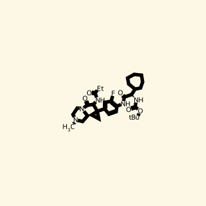 CCC(=O)NC(C(=O)N1CCN(C)CC1)C1(c2ccc(NC(=O)[C@@H](NC(=O)OC(C)(C)C)C3CCCCCC3)c(F)c2)CC1